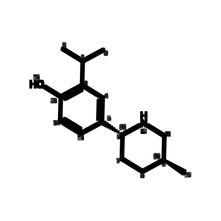 CC(C)c1cc([C@H]2CC[C@H](C)CN2)ccc1O